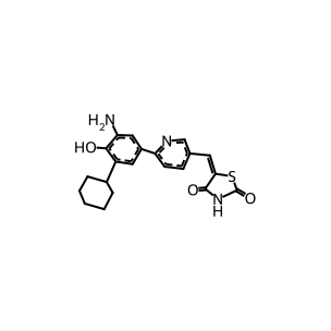 Nc1cc(-c2ccc(C=C3SC(=O)NC3=O)cn2)cc(C2CCCCC2)c1O